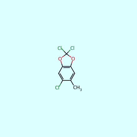 Cc1cc2c(cc1Cl)OC(Cl)(Cl)O2